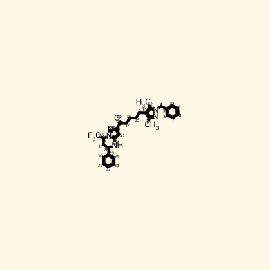 Cc1nn(Cc2ccccc2)c(C)c1CCCCC(=O)c1cc2n(n1)C(C(F)(F)F)CC(c1ccccc1)N2